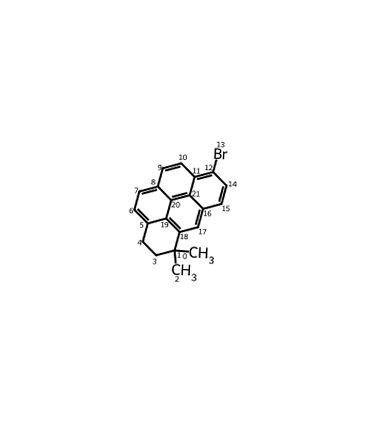 CC1(C)CCc2ccc3ccc4c(Br)ccc5cc1c2c3c54